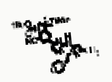 COC[C@@]1(C)CN(C(=O)OC(C)(C)C)c2c(C#N)cc(-c3ccnc(Nc4cc(C)nn4CCN4CCOCC4)n3)cc21